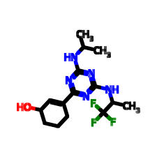 CC(C)Nc1nc(NC(C)C(F)(F)F)nc(C2=CC(O)CCC2)n1